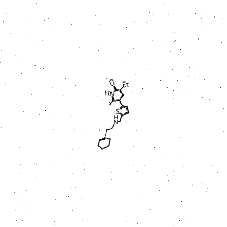 CCc1cc(-c2ccc(CNCCC3=CCCCC3)s2)c(C)[nH]c1=O